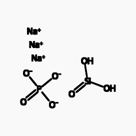 O=P([O-])([O-])[O-].O=[Si](O)O.[Na+].[Na+].[Na+]